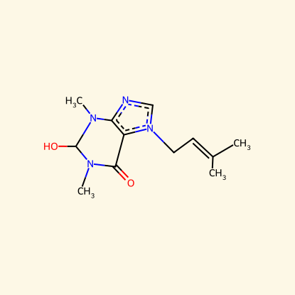 CC(C)=CCn1cnc2c1C(=O)N(C)C(O)N2C